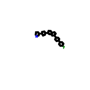 Fc1ccc(-c2ccc(-c3ccc4ccc(-c5ccc(-c6cccnc6)cc5)cc4c3)cc2)cc1